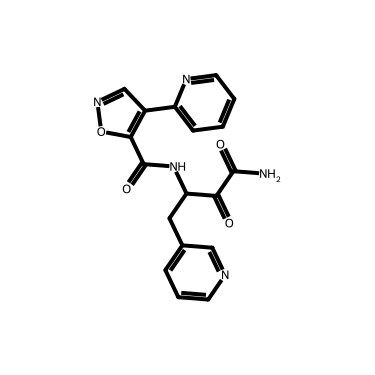 NC(=O)C(=O)C(Cc1cccnc1)NC(=O)c1oncc1-c1ccccn1